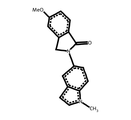 COc1ccc2c(c1)CN(c1ccc3c(ccn3C)c1)C2=O